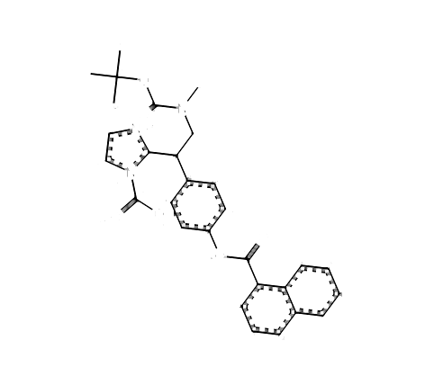 CN(CC(c1ccc(OC(=O)c2cccc3ccccc23)cc1)c1nccn1C(=O)O)C(=O)OC(C)(C)C